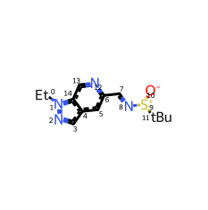 CCn1ncc2cc(C=N[S+]([O-])C(C)(C)C)ncc21